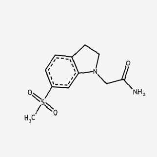 CS(=O)(=O)c1ccc2c(c1)N(CC(N)=O)CC2